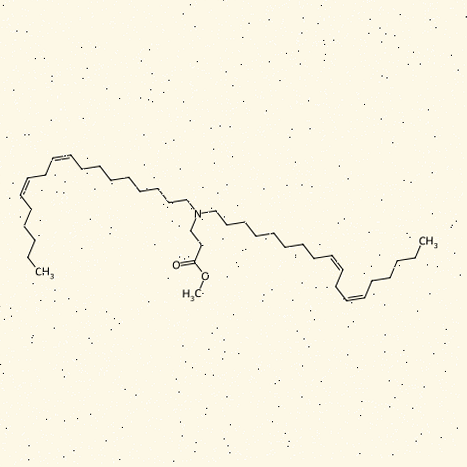 CCCCC/C=C\C/C=C\CCCCCCCCN(CCCCCCCC/C=C\C/C=C\CCCCC)CCC(=O)OC